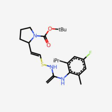 C=C(NS/C=C/C1CCCN1C(=O)OC(C)(C)C)Nc1c(C)cc(F)cc1C(C)C